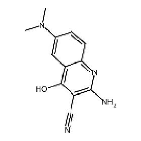 CN(C)c1ccc2nc(N)c(C#N)c(O)c2c1